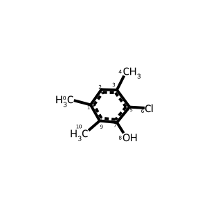 Cc1cc(C)c(Cl)c(O)c1C